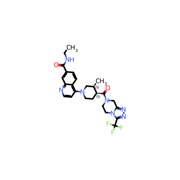 CCNC(=O)c1ccc2c(N3CC[C@H](C(=O)N4CCn5c(nnc5C(F)(F)F)C4)[C@H](C)C3)ccnc2c1